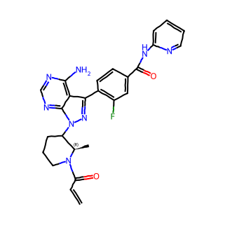 C=CC(=O)N1CCCC(n2nc(-c3ccc(C(=O)Nc4ccccn4)cc3F)c3c(N)ncnc32)[C@H]1C